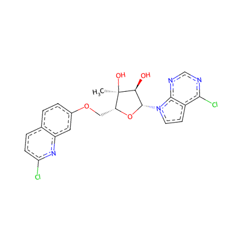 C[C@@]1(O)[C@@H](COc2ccc3ccc(Cl)nc3c2)O[C@@H](n2ccc3c(Cl)ncnc32)[C@@H]1O